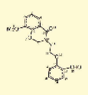 COc1cccc2c1OCN(CCOc1ccccc1C=O)C2=O